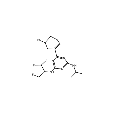 CC(C)Nc1nc(NC(CF)C(F)F)nc(C2=CCCC(O)C2)n1